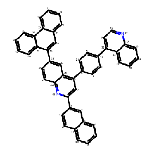 c1ccc2cc(-c3cc(-c4ccc(-c5ccnc6ccccc56)cc4)c4cc(-c5cc6ccccc6c6ccccc56)ccc4n3)ccc2c1